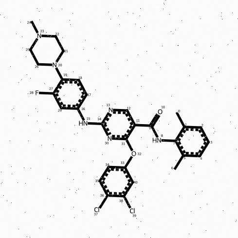 Cc1cccc(C)c1NC(=O)c1cnc(Nc2ccc(N3CCN(C)CC3)c(F)c2)nc1Oc1ccc(Cl)c(Cl)c1